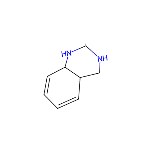 [CH]1NCC2C=CC=CC2N1